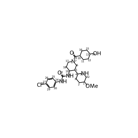 COC1CCC(C2CN(C(=O)C3CCC(O)CC3)CCC2NC(=O)Nc2ccc(Cl)cc2)NC1